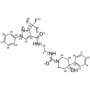 O=C(NCCNC(=O)N1CCC(O)(c2ccccc2)CC1)c1cn(-c2ccccc2)nc1C(F)(F)F